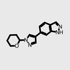 c1cc2cn[nH]c2cc1-c1cnn(C2CCCCO2)c1